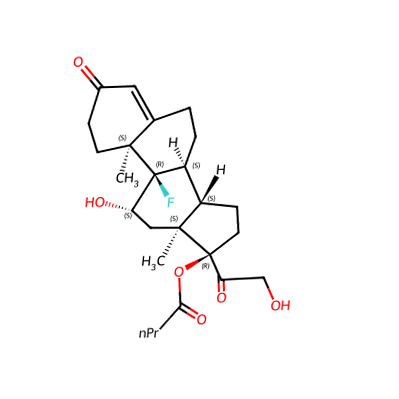 CCCC(=O)O[C@]1(C(=O)CO)CC[C@H]2[C@@H]3CCC4=CC(=O)CC[C@]4(C)[C@@]3(F)[C@@H](O)C[C@@]21C